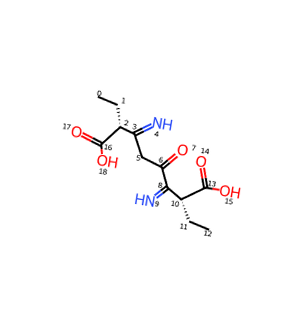 CC[C@H](C(=N)CC(=O)C(=N)[C@@H](CC)C(=O)O)C(=O)O